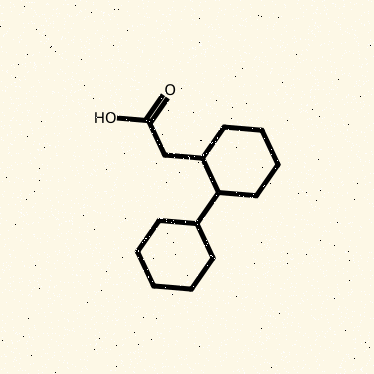 O=C(O)CC1CCCCC1C1CCCCC1